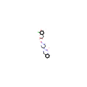 Cc1cc(CC(OC(=O)N2CCC(N3CCc4ccccc4NC3=O)CC2)C(=O)O)cc(Cl)c1O